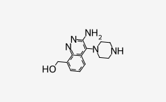 Nc1nnc2c(CO)cccc2c1N1CCNCC1